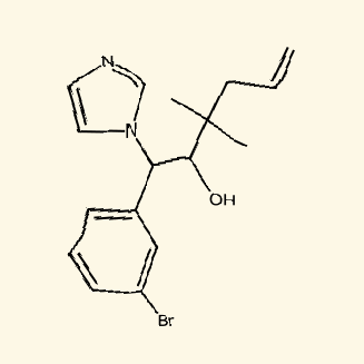 C=CCC(C)(C)C(O)C(c1cccc(Br)c1)n1ccnc1